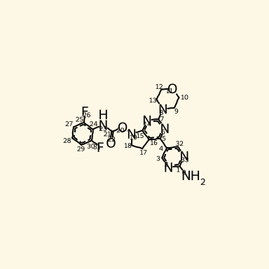 Nc1ncc(-c2nc(N3CCOCC3)nc3c2CCN3OC(=O)Nc2c(F)cccc2F)cn1